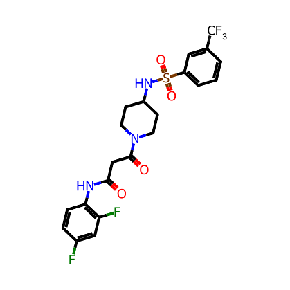 O=C(CC(=O)N1CCC(NS(=O)(=O)c2cccc(C(F)(F)F)c2)CC1)Nc1ccc(F)cc1F